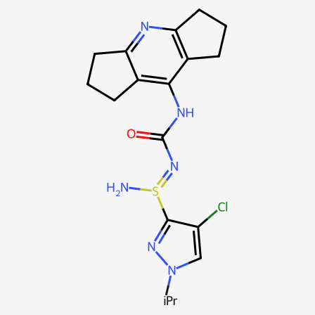 CC(C)n1cc(Cl)c(/S(N)=N/C(=O)Nc2c3c(nc4c2CCC4)CCC3)n1